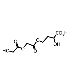 O=C(CO)OCC(=O)OCCC(O)C(=O)O